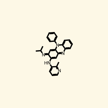 Cc1ncccc1Nc1cc2nc3ccccc3n(-c3ccccc3)c-2c/c1=N\C(C)C